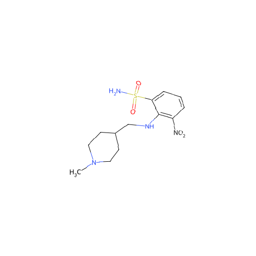 CN1CCC(CNc2c([N+](=O)[O-])cccc2S(N)(=O)=O)CC1